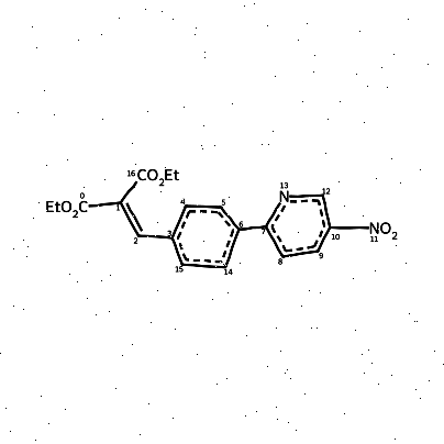 CCOC(=O)C(=Cc1ccc(-c2ccc([N+](=O)[O-])cn2)cc1)C(=O)OCC